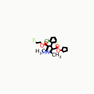 CC1=C(C(=O)OCCF)C(c2c(F)cccc2Cl)C(C(=O)OC2CCCC2)=C(C)N1